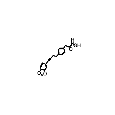 O=C(Cc1ccc(CCC#CC2=CC3OCOC3C=C2)cc1)NO